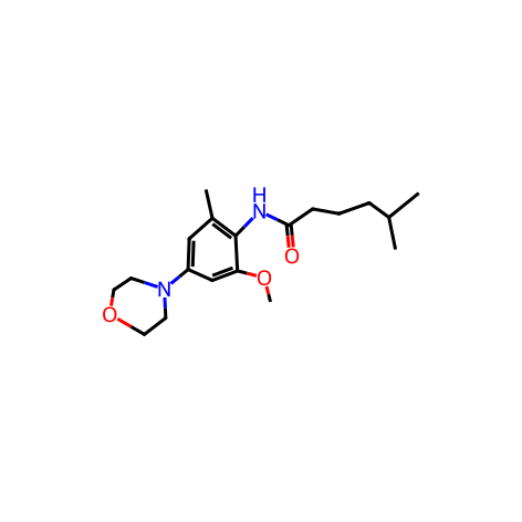 COc1cc(N2CCOCC2)cc(C)c1NC(=O)CCCC(C)C